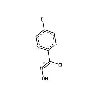 O/N=C(\Cl)c1ncc(F)cn1